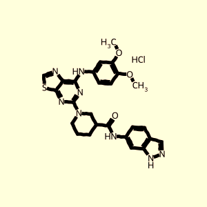 COc1ccc(Nc2nc(N3CCCC(C(=O)Nc4ccc5cn[nH]c5c4)C3)nc3scnc23)cc1OC.Cl